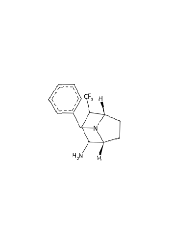 NC1CC(C(F)(F)F)[C@@H]2CC[C@H]1N2Cc1ccccc1